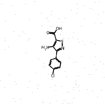 Nc1c(-c2ccc(Cl)cc2)nsc1C(=O)O